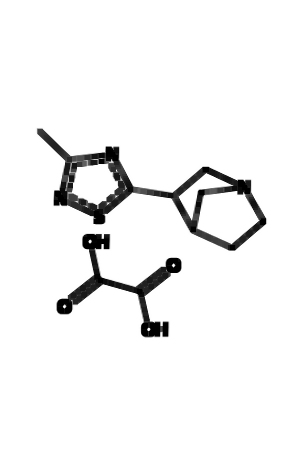 Cc1nsc(C2CN3CCC2C3)n1.O=C(O)C(=O)O